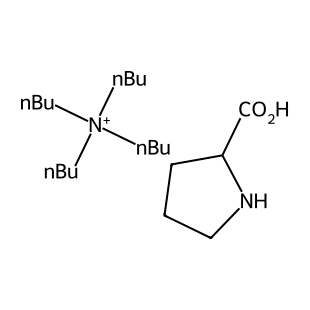 CCCC[N+](CCCC)(CCCC)CCCC.O=C(O)C1CCCN1